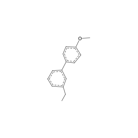 CCc1cccc(-c2ccc(OC)cc2)c1